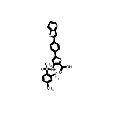 Cc1ccc(P(C)(=O)Nc2cc(-c3ccc(-c4cc5ncccc5o4)cc3)sc2C(=O)O)c(C)c1